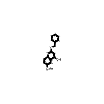 COc1ccc2nc(OCc3ccccc3)cc(O)c2c1